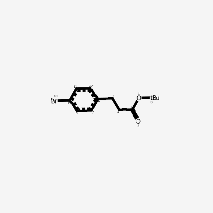 CC(C)(C)OC(=O)CCc1ccc(Br)cc1